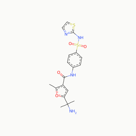 Cc1oc(C(C)(C)N)cc1C(=O)Nc1ccc(S(=O)(=O)Nc2nccs2)cc1